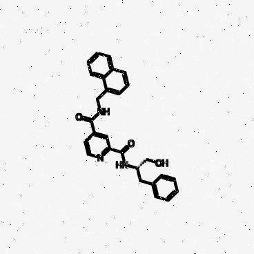 O=C(NCc1cccc2ccccc12)c1ccnc(C(=O)N[C@H](CO)Cc2ccccc2)c1